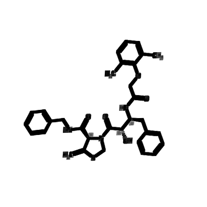 C=C1SCN(C(=O)[C@@H](O)[C@H](Cc2ccccc2)NC(=O)COc2c(C)cccc2C)[C@@H]1C(=O)NCc1ccccc1